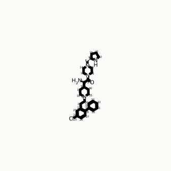 N[C@@H](C(=O)N1CCN(C[C@@H]2CCCN2)CC1)C1CCN(CCc2cc(Cl)ccc2-c2ccccc2)CC1